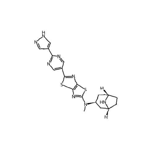 CN(c1nc2sc(-c3cnc(-c4cn[nH]c4)nc3)nc2s1)[C@@H]1C[C@H]2CC[C@@H](C1)N2